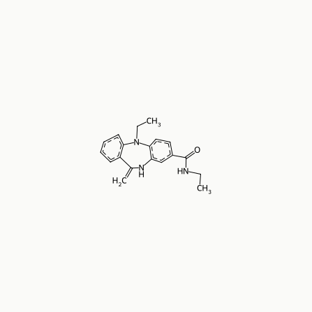 C=C1Nc2cc(C(=O)NCC)ccc2N(CC)c2ccccc21